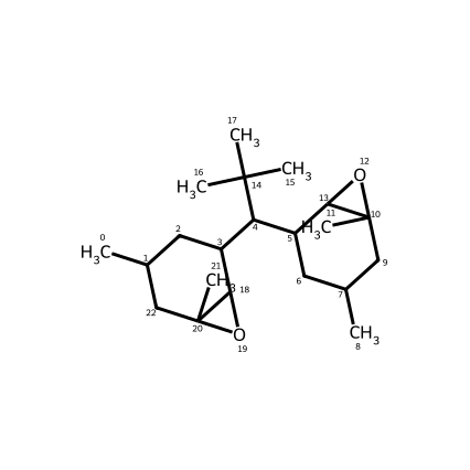 CC1CC(C(C2CC(C)CC3(C)OC23)C(C)(C)C)C2OC2(C)C1